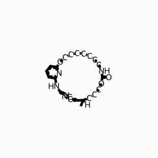 C[C@H]1CCCOC(=O)NCCCCCCCOc2cccc(n2)Nc2ncc1cn2